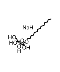 CCCCCCCCCCCCCCO[C@H]1O[C@H]([C@@H](O)CO)[C@H](O)[C@H]1O.[NaH]